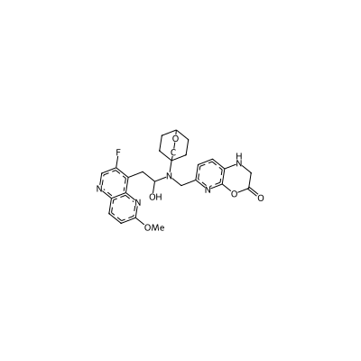 COc1ccc2ncc(F)c(CC(O)N(Cc3ccc4c(n3)OC(=O)CN4)C34CCC(CC3)OC4)c2n1